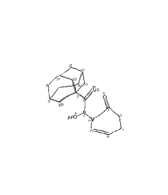 O=C1CCC=CN1N(O)C(=O)C12CC3CC(CC(C3)C1)C2